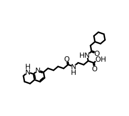 O=C(CCCCc1ccc2c(n1)NCCC2)NCCC(NC(=O)CC1CCCCC1)C(=O)O